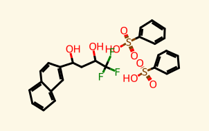 O=S(=O)(O)c1ccccc1.O=S(=O)(O)c1ccccc1.OC(CC(O)C(F)(F)F)c1ccc2ccccc2c1